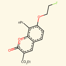 CCCc1c(OCCF)ccc2cc(C(=O)OCC)c(=O)oc12